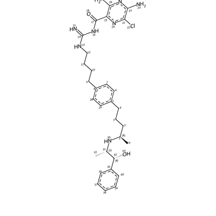 C[C@H](CCCc1ccc(CCCCNC(=N)NC(=O)c2nc(Cl)c(N)nc2N)cc1)N[C@@H](C)[C@H](O)c1ccccc1